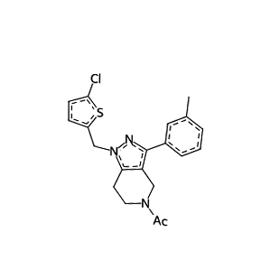 CC(=O)N1CCc2c(c(-c3cccc(C)c3)nn2Cc2ccc(Cl)s2)C1